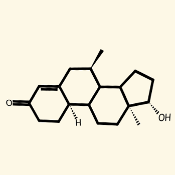 C[C@@H]1CC2=CC(=O)CC[C@@H]2C2CC[C@@]3(C)C(CC[C@@H]3O)C21